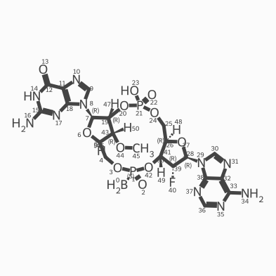 B[P@]1(=O)OC[C@H]2O[C@@H](n3cnc4c(=O)[nH]c(N)nc43)[C@H](OP(=O)(O)OC[C@H]3O[C@@H](n4cnc5c(N)ncnc54)[C@H](F)[C@@H]3O1)[C@@H]2OC